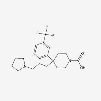 O=C(O)N1CCC(CCCN2CCCC2)(c2cccc(C(F)(F)F)c2)CC1